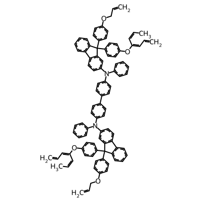 C=C/C=C(\C=C/C)Oc1ccc(C2(c3ccc(OCC=C)cc3)c3ccccc3-c3ccc(N(c4ccccc4)c4ccc(-c5ccc(N(c6ccccc6)c6ccc7c(c6)C(c6ccc(OCC=C)cc6)(c6ccc(OC(/C=C\C)=C/C=C)cc6)c6ccccc6-7)cc5)cc4)cc32)cc1